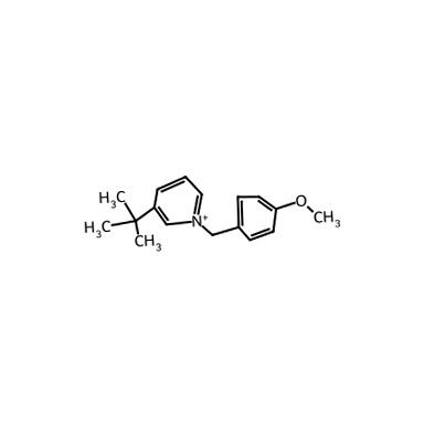 COc1ccc(C[n+]2cccc(C(C)(C)C)c2)cc1